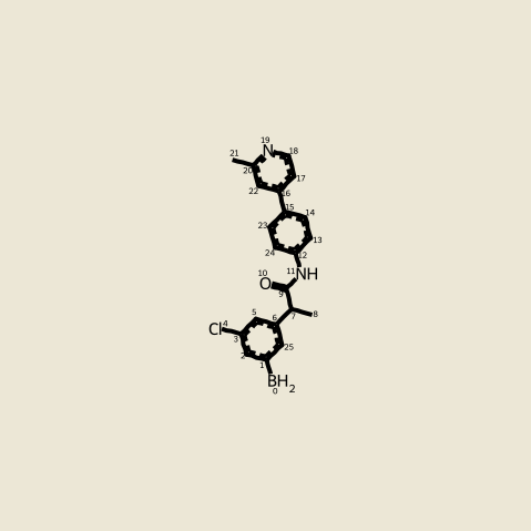 Bc1cc(Cl)cc(C(C)C(=O)Nc2ccc(-c3ccnc(C)c3)cc2)c1